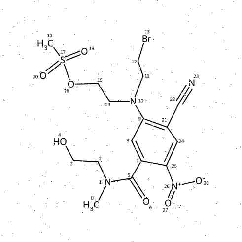 CN(CCO)C(=O)c1cc(N(CCBr)CCOS(C)(=O)=O)c(C#N)cc1[N+](=O)[O-]